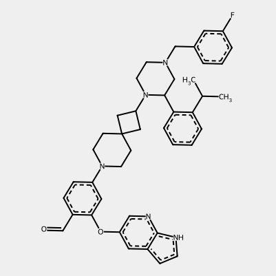 CC(C)c1ccccc1C1CN(Cc2cccc(F)c2)CCN1C1CC2(CCN(c3ccc(C=O)c(Oc4cnc5[nH]ccc5c4)c3)CC2)C1